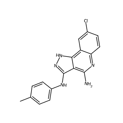 Cc1ccc(Nc2n[nH]c3c2c(N)nc2ccc(Cl)cc23)cc1